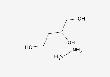 N[SiH3].OCCC(O)CO